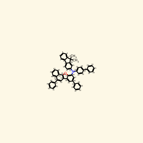 CC1(C)c2ccccc2-c2ccc(N(c3ccc(-c4ccccc4)cc3)c3cc(-c4ccccc4)cc4c3oc3c5ccccc5c(-c5ccccc5)cc43)cc21